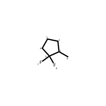 CC1CCCC1(F)F